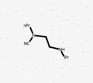 CCCN(C#N)CCNC(C)C